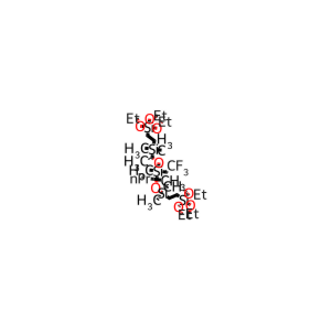 CCCC(C)(O[Si](C)(C)CC[Si](OCC)(OCC)OCC)[Si](C)(CC(F)(F)F)O[C@H](C)[Si](C)(C)CC[Si](OCC)(OCC)OCC